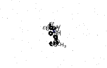 CCOc1cc2c(cc1OCC)/C(=C(/Nc1ccc(N(CC(=O)N3CCCC3)S(C)(=O)=O)cc1)c1ccccc1)C(=O)N2